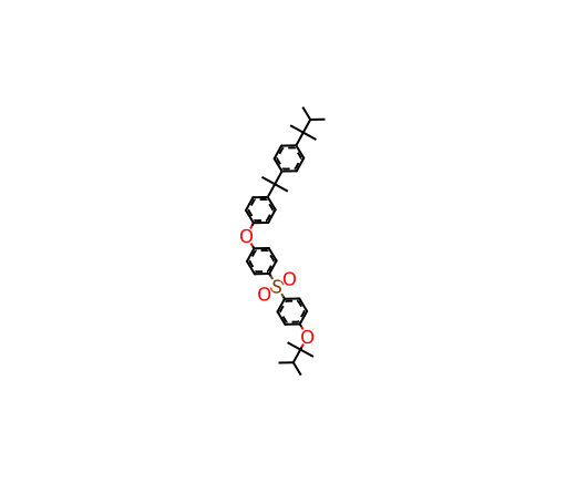 CC(C)C(C)(C)Oc1ccc(S(=O)(=O)c2ccc(Oc3ccc(C(C)(C)c4ccc(C(C)(C)C(C)C)cc4)cc3)cc2)cc1